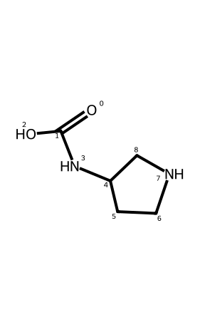 O=C(O)NC1CCNC1